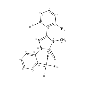 Cn1c(-c2c(F)cccc2F)nn(-c2ccccc2C(F)(F)F)c1=O